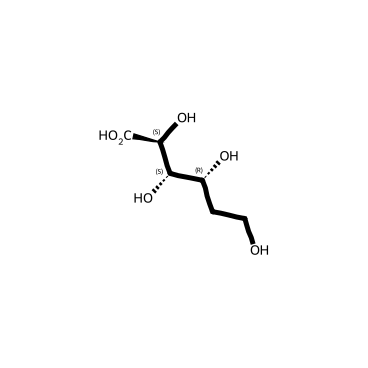 O=C(O)[C@@H](O)[C@@H](O)[C@H](O)CCO